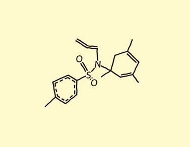 C=C=CN(C1(C)C=C(C)C=C(C)C1)S(=O)(=O)c1ccc(C)cc1